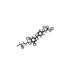 CC[S+]([O-])CCCOc1c(Cl)cc(C(C)(C)c2ccc(OCC(O)CCl)cc2)cc1Cl